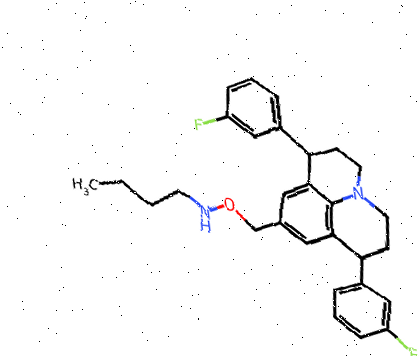 CCCCNOCc1cc2c3c(c1)C(c1cccc(F)c1)CCN3CCC2c1cccc(F)c1